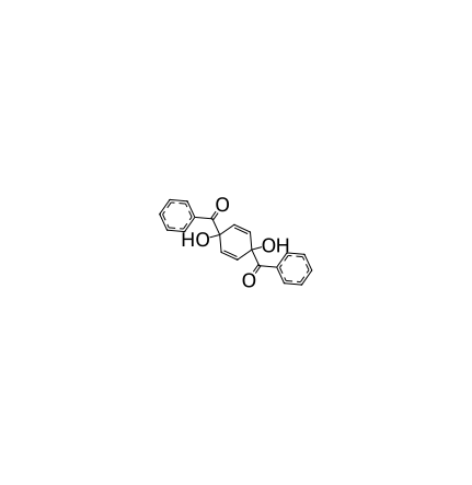 O=C(c1ccccc1)C1(O)C=CC(O)(C(=O)c2ccccc2)C=C1